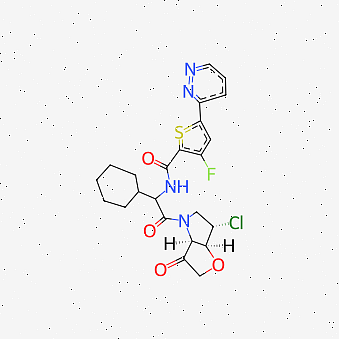 O=C(NC(C(=O)N1C[C@H](Cl)[C@H]2OCC(=O)[C@H]21)C1CCCCC1)c1sc(-c2cccnn2)cc1F